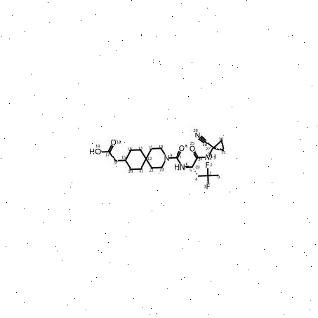 CC(F)(F)C[C@H](NC(=O)N1CCC2(CCC(CC(=O)O)CC2)CC1)C(=O)NC1(C#N)CC1